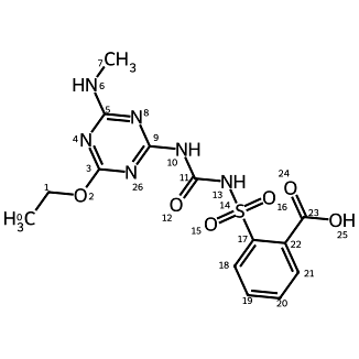 CCOc1nc(NC)nc(NC(=O)NS(=O)(=O)c2ccccc2C(=O)O)n1